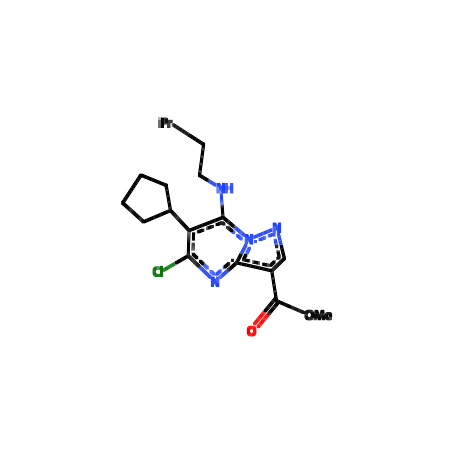 COC(=O)c1cnn2c(NCCC(C)C)c(C3CCCC3)c(Cl)nc12